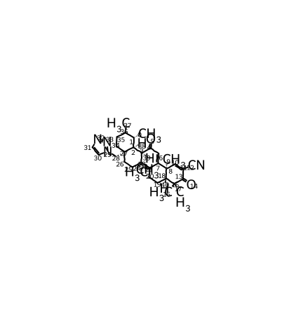 C[C@@H]1[C@H]2[C@H]3C(=O)C=C4[C@@]5(C)C=C(C#N)C(=O)C(C)(C)[C@@H]5CC[C@@]4(C)[C@]3(C)CC[C@@]2(Cn2ccnn2)CC[C@H]1C